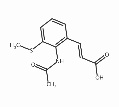 CSc1cccc(/C=C/C(=O)O)c1NC(C)=O